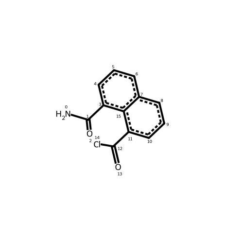 NC(=O)c1cccc2cccc(C(=O)Cl)c12